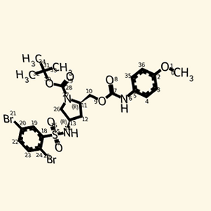 COc1ccc(NC(=O)OC[C@H]2C[C@@H](NS(=O)(=O)c3cc(Br)ccc3Br)CN2C(=O)OC(C)(C)C)cc1